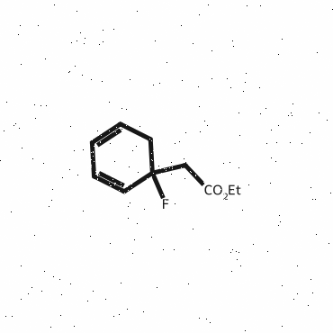 CCOC(=O)CC1(F)C=CC=CC1